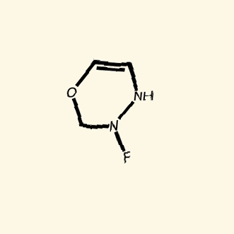 FN1COC=CN1